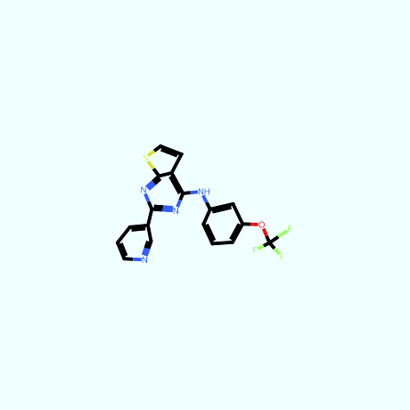 FC(F)(F)Oc1cccc(Nc2nc(-c3cccnc3)nc3sccc23)c1